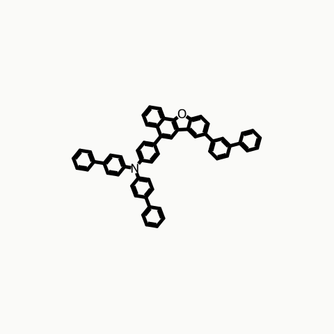 c1ccc(-c2ccc(N(c3ccc(-c4ccccc4)cc3)c3ccc(-c4cc5c6cc(-c7cccc(-c8ccccc8)c7)ccc6oc5c5ccccc45)cc3)cc2)cc1